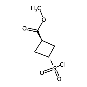 COC(=O)[C@H]1C[C@H](S(=O)(=O)Cl)C1